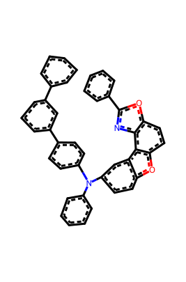 c1ccc(-c2cccc(-c3ccc(N(c4ccccc4)c4ccc5oc6ccc7oc(-c8ccccc8)nc7c6c5c4)cc3)c2)cc1